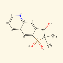 CC1(C)C(=O)c2cc3ncccc3cc2S1(=O)=O